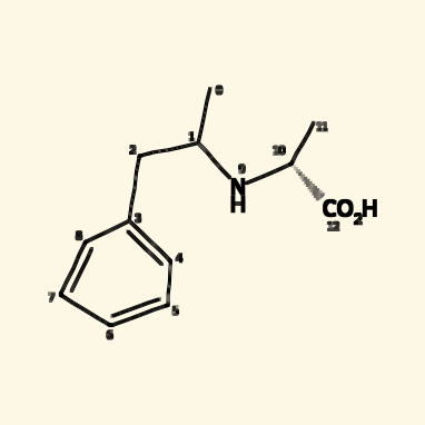 CC(Cc1ccccc1)N[C@H](C)C(=O)O